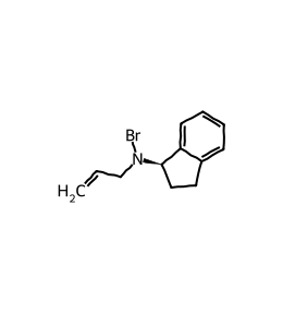 C=CCN(Br)[C@@H]1CCc2ccccc21